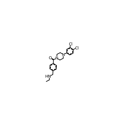 CCNCc1ccc(C(=O)N2CCN(c3ccc(Cl)c(Cl)c3)CC2)cc1